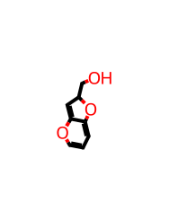 OCC1C=C2OC=CC=C2O1